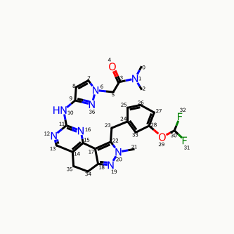 CN(C)C(=O)Cn1ccc(Nc2ncc3c(n2)-c2c(nn(C)c2Cc2cccc(OC(F)F)c2)CC3)n1